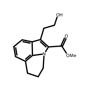 COC(=O)c1c(CCO)c2cccc3c2n1CCC3